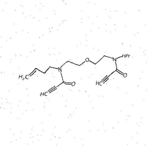 C#CC(=O)N(CCC)CCOCCN(CCC=C)C(=O)C#C